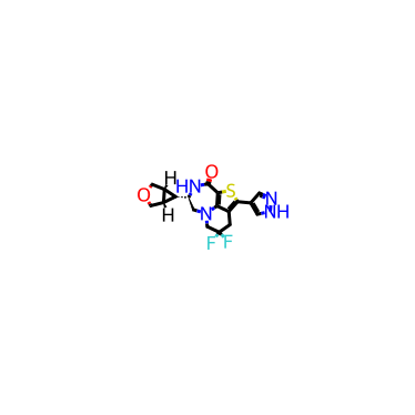 O=C1N[C@H]([C@@H]2[C@@H]3COC[C@@H]32)CN2CC(F)(F)Cc3c(-c4cn[nH]c4)sc1c32